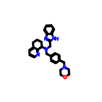 c1cnc2c(c1)CCCC2N(Cc1ccc(CN2CCOCC2)cc1)Cc1nc2ccccc2[nH]1